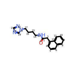 O=C(Cc1cccc2ccccc12)NCCCCn1cncn1